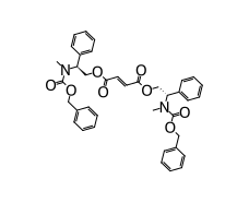 CN(C(=O)OCc1ccccc1)[C@H](COC(=O)/C=C/C(=O)OC[C@H](c1ccccc1)N(C)C(=O)OCc1ccccc1)c1ccccc1